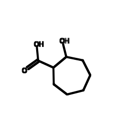 O=C(O)C1CCCCCC1O